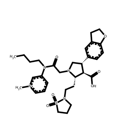 CCCCN(C(=O)CN1C[C@H](c2ccc3c(c2)CCO3)[C@@H](C(=O)O)[C@@H]1CCN1CCCS1(=O)=O)c1ccc[n+](C)c1